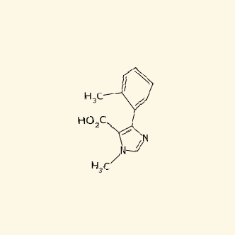 Cc1ccccc1-c1ncn(C)c1C(=O)O